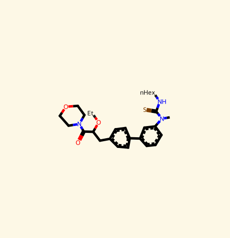 CCCCCCNC(=S)N(C)c1cccc(-c2ccc(CC(OCC)C(=O)N3CCOCC3)cc2)c1